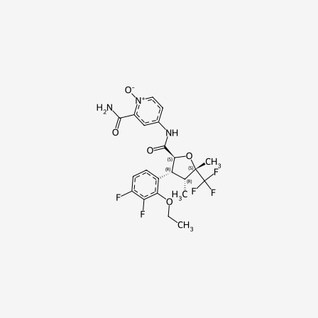 CCOc1c([C@@H]2[C@@H](C(=O)Nc3cc[n+]([O-])c(C(N)=O)c3)O[C@](C)(C(F)(F)F)[C@@H]2C)ccc(F)c1F